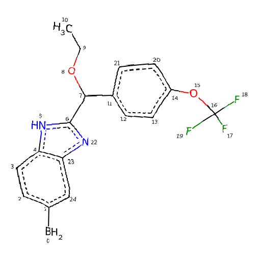 Bc1ccc2[nH]c(C(OCC)c3ccc(OC(F)(F)F)cc3)nc2c1